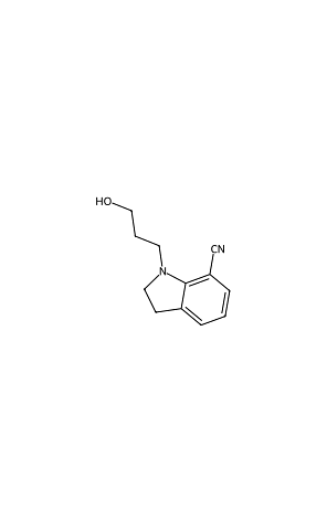 N#Cc1cccc2c1N(CCCO)CC2